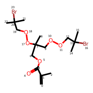 C=C(C)C(=O)OCC(C)(COOCC(C)(C)Br)OOCC(C)(C)Br